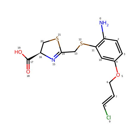 Nc1ccc(OC/C=C/Cl)cc1SCC1=N[C@@H](C(=O)O)CS1